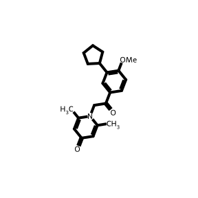 COc1ccc(C(=O)Cn2c(C)cc(=O)cc2C)cc1C1CCCC1